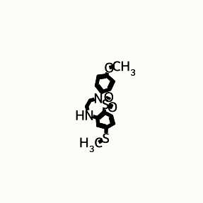 COc1ccc(N2CCNc3cc(SC)ccc3S2(=O)=O)cc1